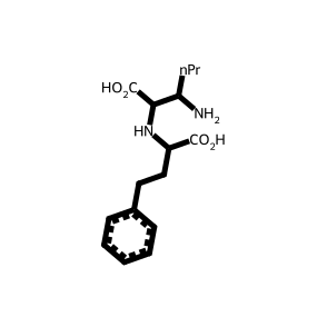 CCCC(N)C(NC(CCc1ccccc1)C(=O)O)C(=O)O